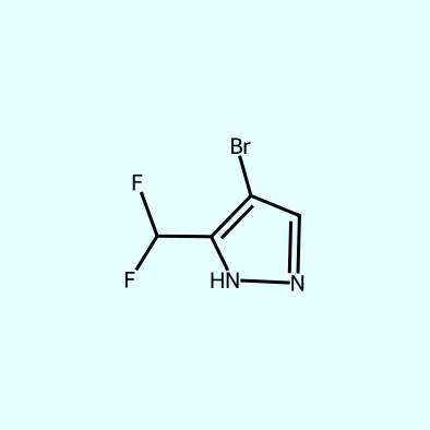 FC(F)c1[nH]ncc1Br